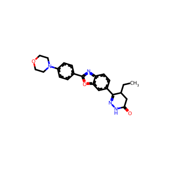 CCC1CC(=O)NN=C1c1ccc2nc(-c3ccc(N4CCOCC4)cc3)oc2c1